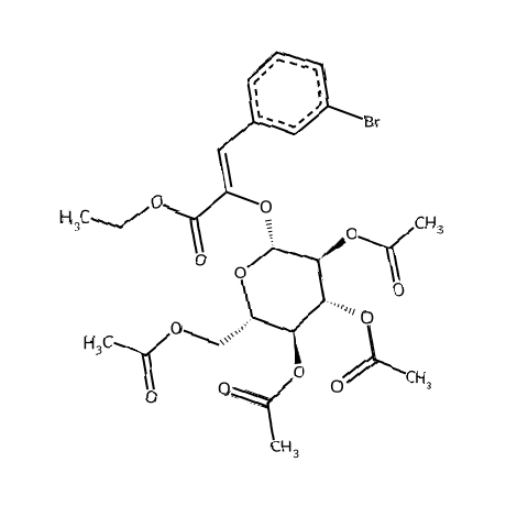 CCOC(=O)C(=Cc1cccc(Br)c1)O[C@H]1O[C@@H](COC(C)=O)[C@H](OC(C)=O)[C@@H](OC(C)=O)[C@@H]1OC(C)=O